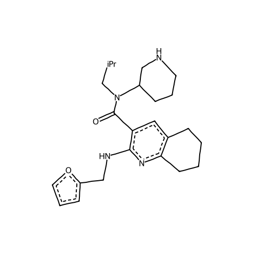 CC(C)CN(C(=O)c1cc2c(nc1NCc1ccco1)CCCC2)C1CCCNC1